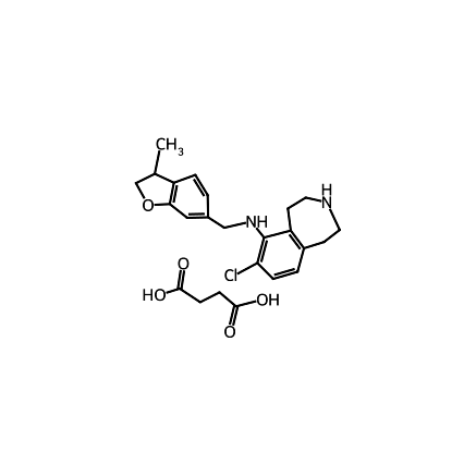 CC1COc2cc(CNc3c(Cl)ccc4c3CCNCC4)ccc21.O=C(O)CCC(=O)O